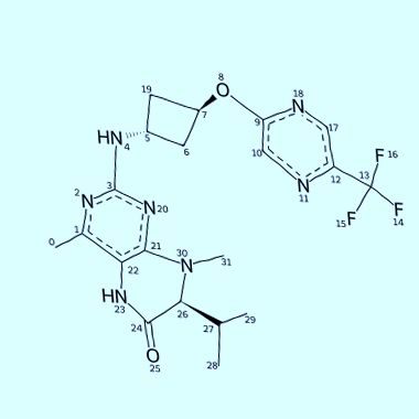 Cc1nc(N[C@H]2C[C@H](Oc3cnc(C(F)(F)F)cn3)C2)nc2c1NC(=O)[C@H](C(C)C)N2C